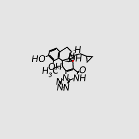 C[C@H]1c2c(c(=O)[nH]c3nnnn23)C[C@@]2(O)[C@H]3Cc4ccc(O)c(O)c4[C@@]12CCN3CC1CC1